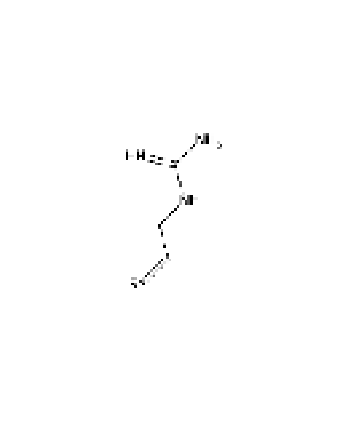 N=C(N)NCC=[Se]